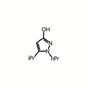 CCCn1nc(O)cc1C(C)C